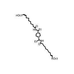 CCCCCCCCC=CCCCCCCCC(=O)NC(CC)N1CCN(C(CC)NC(=O)CCCCCCC/C=C\CCCCCCCC)CC1